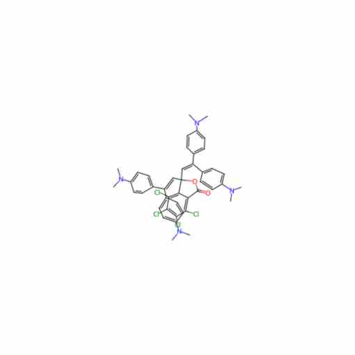 CN(C)c1ccc(C(=CC2(C=C(c3ccc(N(C)C)cc3)c3ccc(N(C)C)cc3)OC(=O)c3c(Cl)c(Cl)c(Cl)c(Cl)c32)c2ccc(N(C)C)cc2)cc1